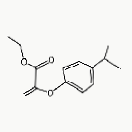 C=C(Oc1ccc(C(C)C)cc1)C(=O)OCC